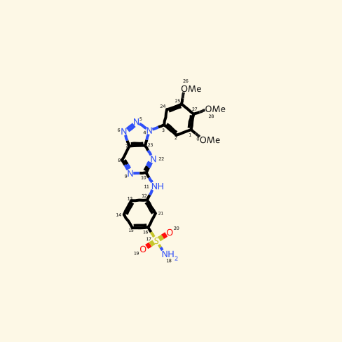 COc1cc(-n2nnc3cnc(Nc4cccc(S(N)(=O)=O)c4)nc32)cc(OC)c1OC